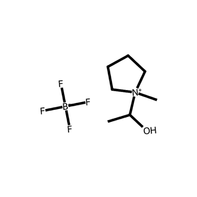 CC(O)[N+]1(C)CCCC1.F[B-](F)(F)F